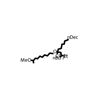 CCCCCCCCCCCCCCCCC(CC(CC)CCCC)(OCCCCCCCCC(C)OC)C(=O)O